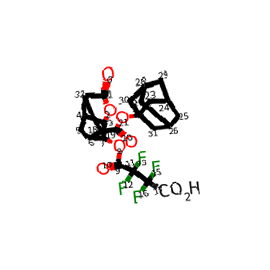 O=C1OC2C3CC(C2OC(=O)C(F)(F)C(F)(F)C(=O)O)C(C(=O)OC24CC5CC(CC(C5)C2)C4)C13